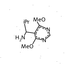 COc1ncnc(OC)c1C(N)C(C)C